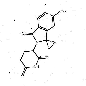 C=C1CCC(N2C(=O)c3ccc(C(C)(C)C)cc3C23CC3)C(=O)N1